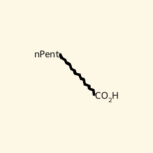 CCCCCC=CCC=CCC=CCC=CCC=CCCC(=O)O